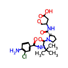 CC(C)(C)C(NC(=O)c1ccc(N)c(Cl)c1)C(=O)N1CCC[C@H]1C(=O)NC(C=O)CC(=O)O